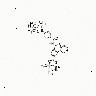 CC1(C)OB(c2ccc(C(=O)NC(=O)c3ccc(B4OC(C)(C)C(C)(C)O4)cc3-c3ccccn3)cc2)OC1(C)C